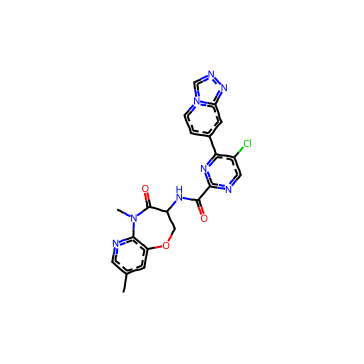 Cc1cnc2c(c1)OCC(NC(=O)c1ncc(Cl)c(-c3ccn4cnnc4c3)n1)C(=O)N2C